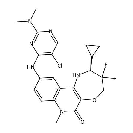 CN(C)c1ncc(Cl)c(Nc2ccc3c(c2)c2c(c(=O)n3C)OCC(F)(F)[C@H](C3CC3)N2)n1